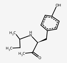 CCC(C)N[C@@H](Cc1ccc(O)cc1)C(C)=O